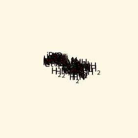 CCC(C)[C@@H](NC(=O)[C@@H](CCCNC(N)=O)NC(=O)[C@@H](CCCNC(=N)N)NC(=O)[C@H](N)Cc1cnnn1CCCC[C@@H](NC(=O)[C@@H](CCCCN)NC(=O)[C@@H](Cc1ccccc1)NC(=O)[C@@H](Cc1ccccc1)NC(=O)[C@@H](CC(C)C)NC(=O)[C@@H](CC(C)C)NC(=O)CNC(=O)[C@H](N)Cc1cnnn1CC)C(=O)O)C(=O)N[C@@H](C(=O)N[C@H](CCCCN)C(=O)O)C(C)C